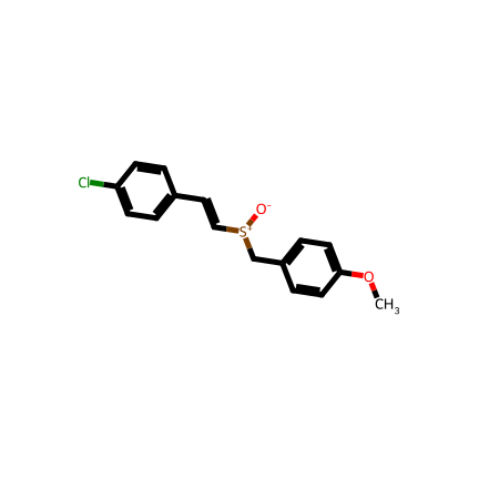 COc1ccc(C[S+]([O-])C=Cc2ccc(Cl)cc2)cc1